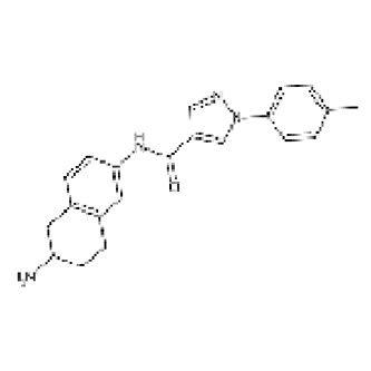 Cc1ccc(-n2cc(C(=O)Nc3ccc4c(c3)CCC(N)C4)cn2)cc1